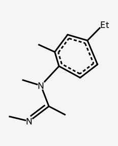 CCc1ccc(N(C)/C(C)=N\C)c(C)c1